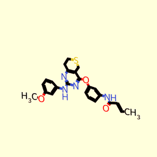 C/C=C/C(=O)Nc1cccc(Oc2nc(Nc3cccc(OC)c3)nc3c2CSCC3)c1